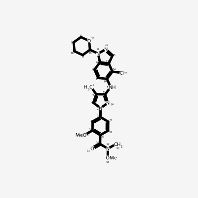 COc1cc(-n2cc(C)c(Nc3ccc4c(cnn4C4CCCCO4)c3Cl)n2)ccc1C(=O)N(C)OC